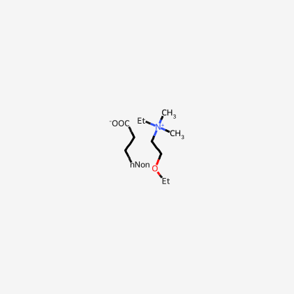 CCCCCCCCCCCC(=O)[O-].CCOCC[N+](C)(C)CC